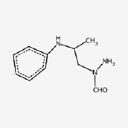 CC(CN(N)C=O)Nc1cc[c]cc1